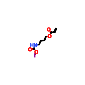 C=CC(=O)OCCCCNC(=O)OI